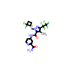 Cc1c(C(F)(F)C(F)(F)F)nn(C[C@H]2CCC2(F)F)c1C(=O)Nc1ccnc(C(N)=O)c1